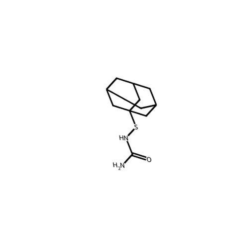 NC(=O)NSC12CC3CC(CC(C3)C1)C2